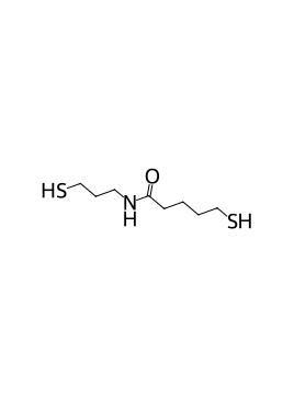 O=C(CCCCS)NCCCS